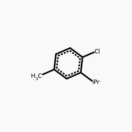 C[C](C)c1cc(C)ccc1Cl